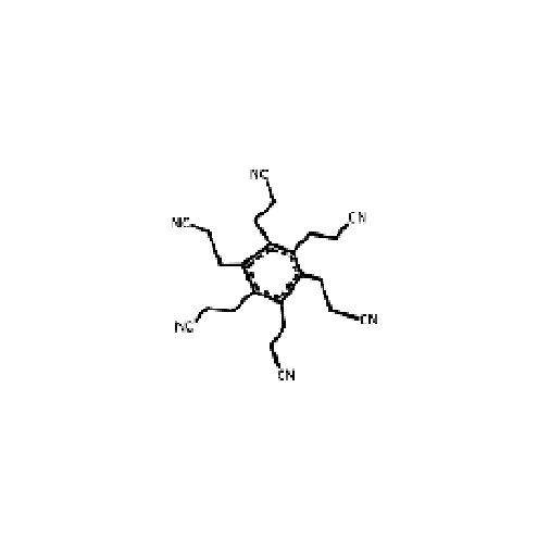 N#CCCc1c(CCC#N)c(CCC#N)c(CCC#N)c(CCC#N)c1CCC#N